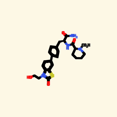 NC(=O)[C@H](Cc1ccc(-c2ccc3c(c2)sc(=O)n3CCO)cc1)NC(=O)C1CCCCN1C(=O)O